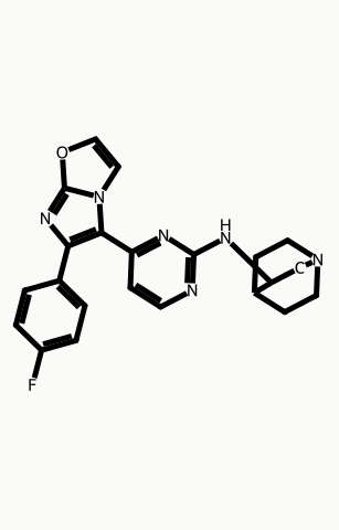 Fc1ccc(-c2nc3occn3c2-c2ccnc(NC3CN4CCC3CC4)n2)cc1